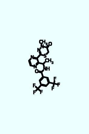 CC(NC(=O)c1cc(C(F)(F)F)cc(C(F)(F)F)c1)c1nccnc1C1=NN(C)C(=O)CS1